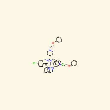 CN(CC1CCN(CCOc2ccccc2)CC1)C(c1ccc(Cl)cc1)(c1ccccn1)[C@](c1ccc(Cl)cc1)(c1ccccn1)N(C)CC1CCN(CCOc2ccccc2)CC1